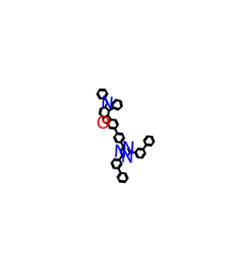 C1=CC2C(c3ccccc3N2c2ccccc2)c2c1oc1cc(-c3ccc(-c4nc(-c5cccc(-c6ccccc6)c5)nc(-c5cccc(-c6ccccc6)c5)n4)cc3)ccc21